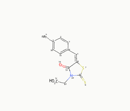 CCCc1ccc(C=C2SC(=S)N(CC(=O)O)C2=O)cc1